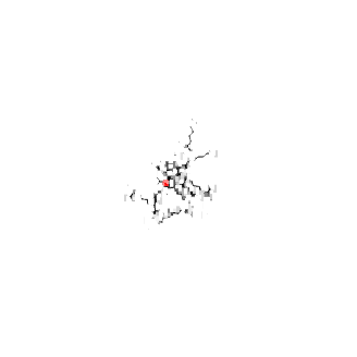 N=C(N)NCCC[C@H](NC(=O)[C@H](CCCNC(=N)N)NC(=O)[C@H](CCCNC(=N)N)NC(=O)[C@H](CCCNC(=N)N)NC(=O)[C@H](CCCNC(=N)N)NC(=O)[C@H](CCC(N)=O)NC(=O)[C@H](CCCCN)NC(=O)[C@@H](N)CCCCN)C(N)=O